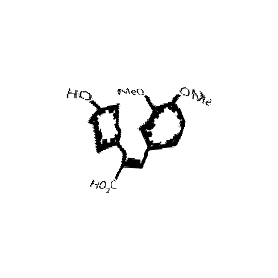 COc1ccc(/C=C(/C(=O)O)c2ccc(O)cc2)cc1OC